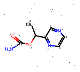 CC(C)(C)C(OC(N)=O)c1cnccn1